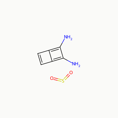 Nc1c2ccc-2c1N.O=S=O